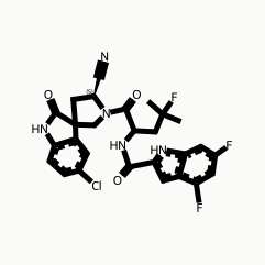 CC(C)(F)CC(NC(=O)c1cc2c(F)cc(F)cc2[nH]1)C(=O)N1CC2(C[C@H]1C#N)C(=O)Nc1ccc(Cl)cc12